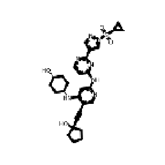 O=S(=O)(C1CC1)n1cc(-c2nccc(Nc3cc(N[C@H]4CC[C@@H](O)CC4)c(C#CC4(O)CCCC4)cn3)n2)cn1